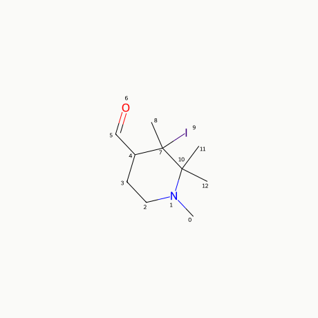 CN1CCC(C=O)C(C)(I)C1(C)C